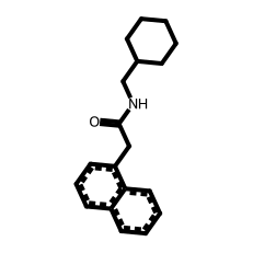 O=C(Cc1cccc2ccccc12)NCC1CCCCC1